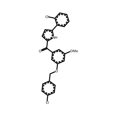 COc1cc(OCc2ccc(Cl)cc2)cc(C(=O)c2ccc(-c3ccccc3Cl)[nH]2)c1